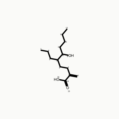 C=C(CCC(CCC)C(O)CCCC)C(=O)O